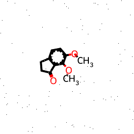 COc1ccc2c(c1OC)C(=O)CC2